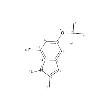 Cc1cc2cc(OC(C)(C)C)cc(F)c2n1C